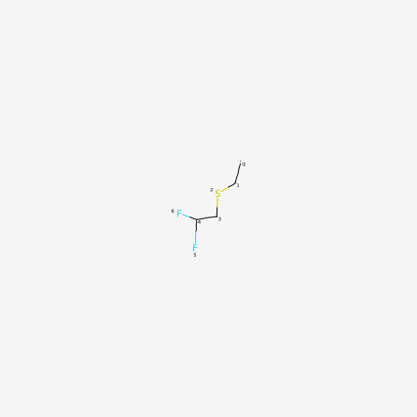 [CH2]CSCC(F)F